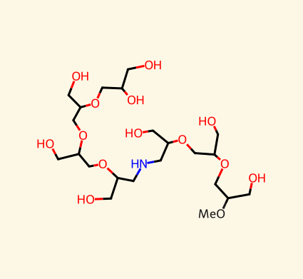 COC(CO)COC(CO)COC(CO)CNCC(CO)OCC(CO)OCC(CO)OCC(O)CO